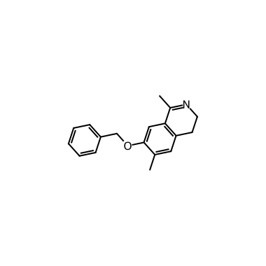 CC1=NCCc2cc(C)c(OCc3ccccc3)cc21